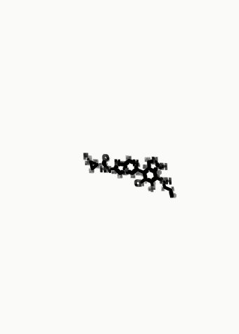 C=CCNc1c(F)c(Cl)c(-c2cn3cc(NC(=O)[C@@H]4C[C@@H]4F)nc3cn2)c2cn[nH]c12